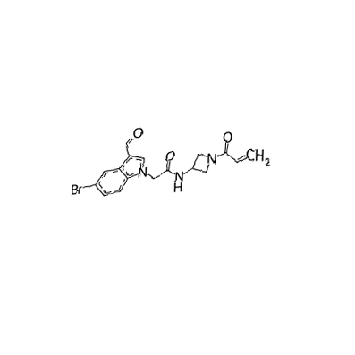 C=CC(=O)N1CC(NC(=O)Cn2cc(C=O)c3cc(Br)ccc32)C1